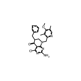 COc1c(C)cnc(CN2CC(Cc3ccccc3)C(=O)c3c(Cl)nc(N)nc32)c1C